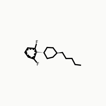 CCCCC[C@H]1CC[C@H](c2c(F)cccc2F)CC1